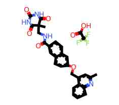 Cc1cc(COc2ccc3cc(C(=O)NCC4(C)C(=O)NC(=O)NC4=O)ccc3c2)c2ccccc2n1.O=C(O)C(F)(F)F